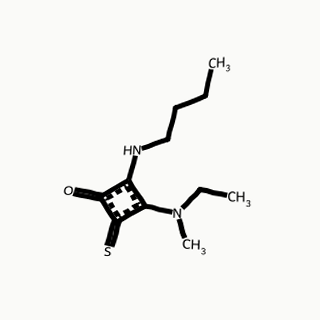 CCCCNc1c(N(C)CC)c(=S)c1=O